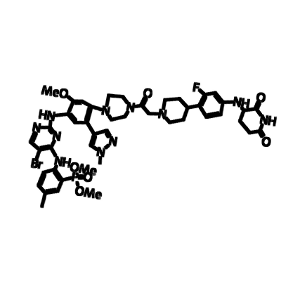 COc1cc(N2CCN(C(=O)CN3CCC(c4ccc(NC5CCC(=O)NC5=O)cc4F)CC3)CC2)c(-c2cnn(C)c2)cc1Nc1ncc(Br)c(Nc2ccc(C)cc2P(=O)(OC)OC)n1